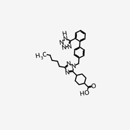 CCCCCc1nc(C2CCC(C(=O)O)CC2)n(Cc2ccc(-c3ccccc3-c3nnn[nH]3)cc2)n1